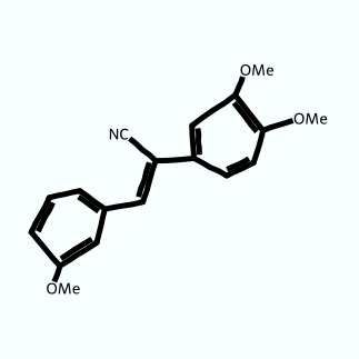 COc1cccc(/C=C(\C#N)c2ccc(OC)c(OC)c2)c1